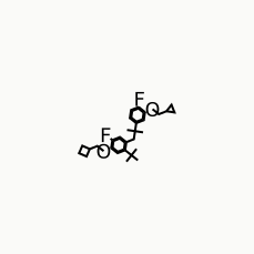 CC(C)(C)c1cc(OCC2CCC2)c(F)cc1CC(C)(C)c1ccc(F)c(OCC2CC2)c1